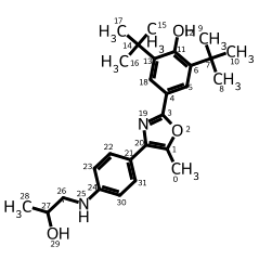 Cc1oc(-c2cc(C(C)(C)C)c(O)c(C(C)(C)C)c2)nc1-c1ccc(N[CH]C(C)O)cc1